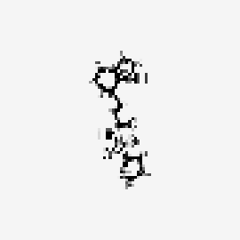 O=C(C=Cc1cccc2cc[nH]c12)NS(=O)(=O)c1cccs1